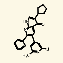 Cc1cc(-c2cc3c(=O)c(C4CCCC4)c[nH]c3nc2-c2ccccc2)cc(Cl)n1